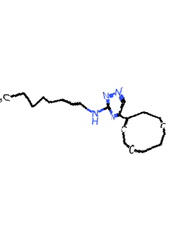 CCCCCCCCNc1nncc(C2CCCCCCCCC2)n1